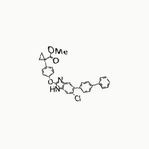 COC(=O)C1(c2ccc(Oc3nc4cc(-c5ccc(-c6ccccc6)cc5)c(Cl)cc4[nH]3)cc2)CC1